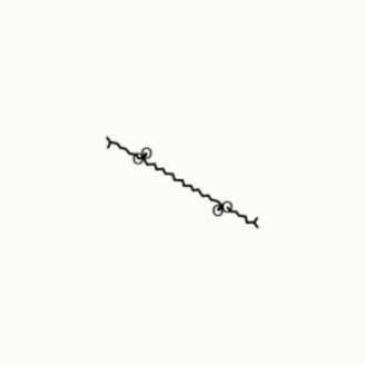 CC(C)CCCCCOC(=O)CCCCCCCCCCCCCCCCC(=O)OCCCCCC(C)C